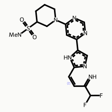 CNS(=O)(=O)C1CCCN(c2cc(-c3cnc(/C=C\C(=N)C(F)F)[nH]3)ncn2)C1